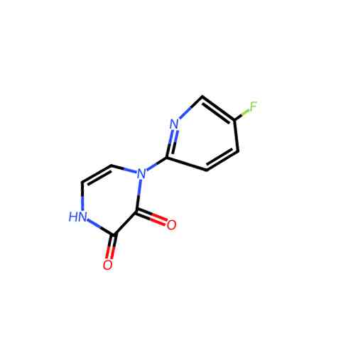 O=c1[nH]ccn(-c2ccc(F)cn2)c1=O